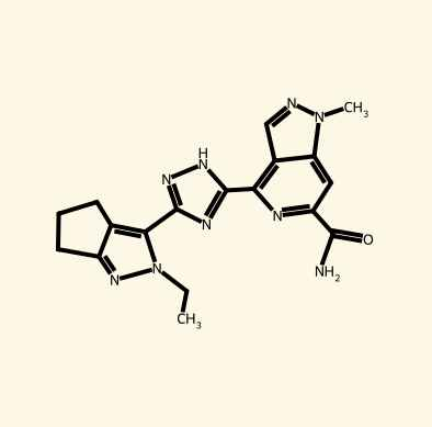 CCn1nc2c(c1-c1n[nH]c(-c3nc(C(N)=O)cc4c3cnn4C)n1)CCC2